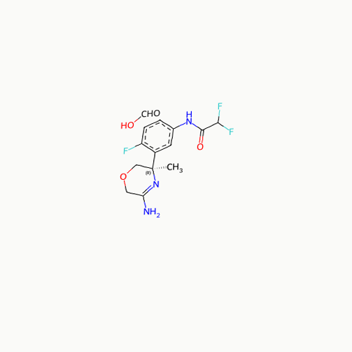 C[C@@]1(c2cc(NC(=O)C(F)F)ccc2F)COCC(N)=N1.O=CO